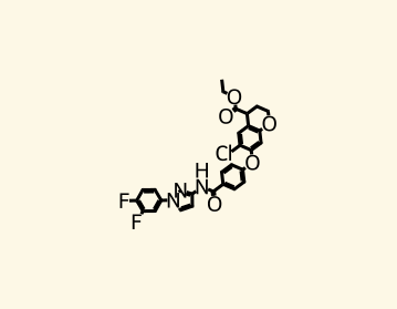 CCOC(=O)C1CCOc2cc(Oc3ccc(C(=O)Nc4ccn(-c5ccc(F)c(F)c5)n4)cc3)c(Cl)cc21